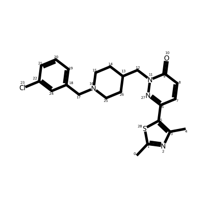 Cc1nc(C)c(-c2ccc(=O)n(CC3CCN(Cc4cccc(Cl)c4)CC3)n2)s1